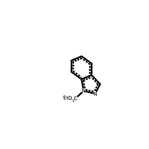 CCOC(=O)n1ncc2cc[c]cc21